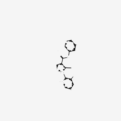 Cc1c(C(=O)Nc2cccnc2)cnn1-c1ncccc1Cl